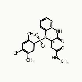 CNC(=O)C[C@@H]1C(=O)Nc2ccccc2N1S(=O)(=O)c1cc(C)c(Cl)cc1C